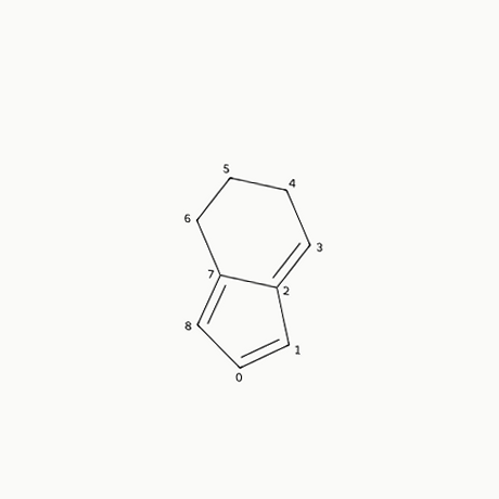 C1=CC2=CCCCC2=C1